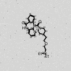 CCN(CC)CCOCCC1CCN(C(=O)N2c3ccccc3C(=O)Nc3cccnc32)CC1